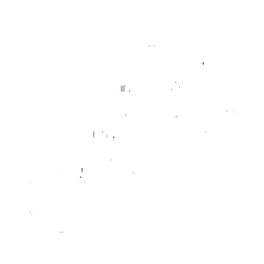 CCC(NC(=O)NC(CC)N1CCOCC1)N1CCOCC1